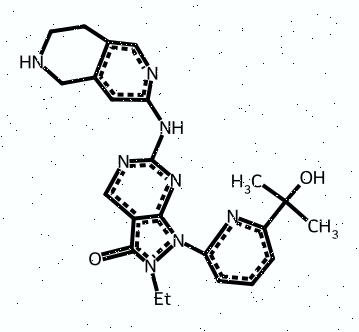 CCn1c(=O)c2cnc(Nc3cc4c(cn3)CCNC4)nc2n1-c1cccc(C(C)(C)O)n1